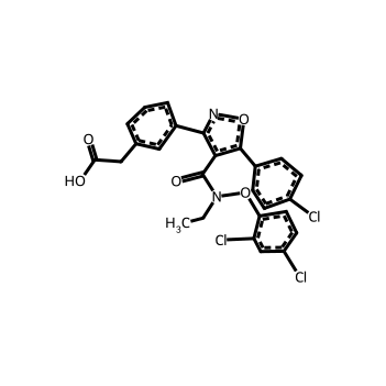 CCN(Oc1ccc(Cl)cc1Cl)C(=O)c1c(-c2cccc(CC(=O)O)c2)noc1-c1ccc(Cl)cc1